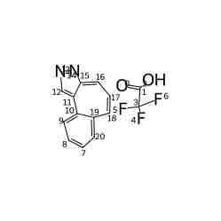 O=C(O)C(F)(F)F.c1ccc2c3cnnc-3cccc2c1